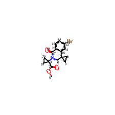 COC(=O)C1(N2CC3(CC3)c3cc(Br)ccc3C2=O)CC1